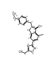 Cc1cc(-c2noc(CCl)n2)cc2c1C(=O)N(Cc1ccc(OC(F)(F)F)cc1)C2